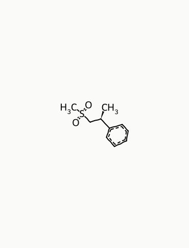 C[C@H](CS(C)(=O)=O)c1ccccc1